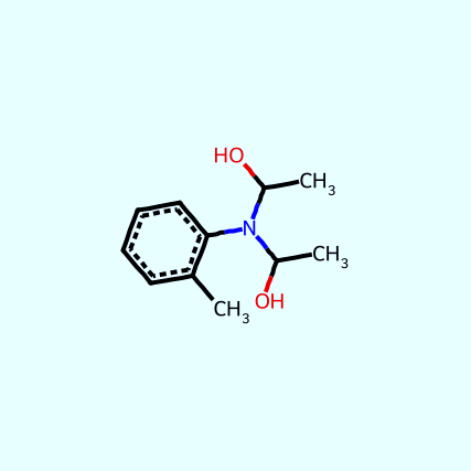 Cc1ccccc1N(C(C)O)C(C)O